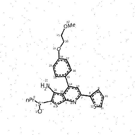 CCC[S+]([O-])c1sc2nc(-c3cccs3)cc(-c3ccc(OCCOC)cc3)c2c1N